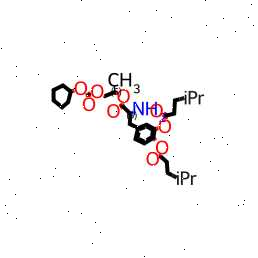 CC(C)CCC(=O)Oc1ccc(C[C@H](N)C(=O)O[C@@H](C)COC(=O)OC2CCCCC2)cc1OC(=O)CCC(C)C